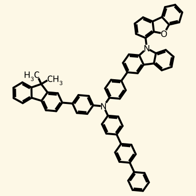 CC1(C)c2ccccc2-c2ccc(-c3ccc(N(c4ccc(-c5ccc(-c6ccccc6)cc5)cc4)c4ccc(-c5ccc6c(c5)c5ccccc5n6-c5cccc6c5oc5ccccc56)cc4)cc3)cc21